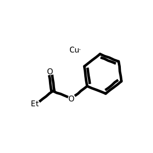 CCC(=O)Oc1ccccc1.[Cu]